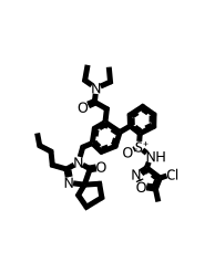 CCCCC1=NC2(CCCC2)C(=O)N1Cc1ccc(-c2ccccc2[S+]([O-])Nc2noc(C)c2Cl)c(CC(=O)N(CC)CC)c1